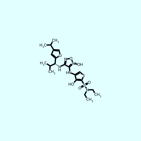 CCN(CC)S(=O)(=O)c1scc(Nc2c(N[C@@H](c3cc(C(C)C)co3)C(C)C)no[n+]2O)c1O